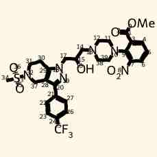 COC(=O)c1cccc([N+](=O)[O-])c1N1CCN(CC(O)Cn2nc(-c3ccc(C(F)(F)F)cc3)c3c2CCN(S(C)(=O)=O)C3)CC1